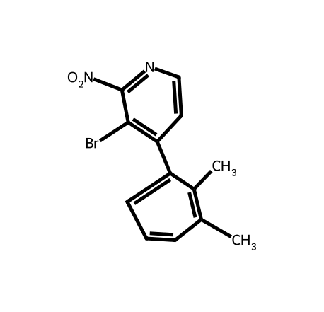 Cc1cccc(-c2ccnc([N+](=O)[O-])c2Br)c1C